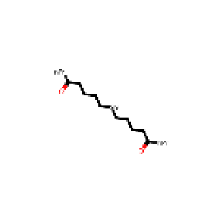 CCCC(=O)CCC[CH2][Sn][CH2]CCCC(=O)CCC